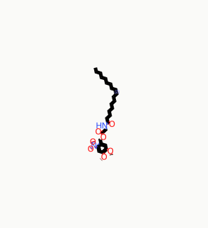 CCCCCCCC/C=C\CCCCCCCC(=O)NCC(=O)OCc1cc(OC)c(OC)cc1[N+](=O)[O-]